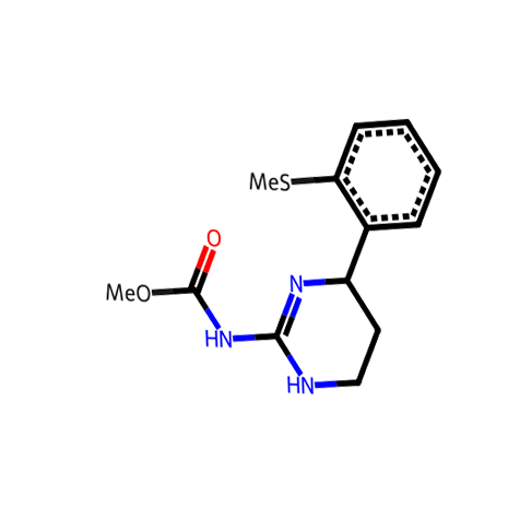 COC(=O)NC1=NC(c2ccccc2SC)CCN1